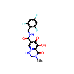 CCCCN1CNn2cc(C(=O)NCc3c(F)cc(F)cc3F)c(=O)c(O)c2C1=O